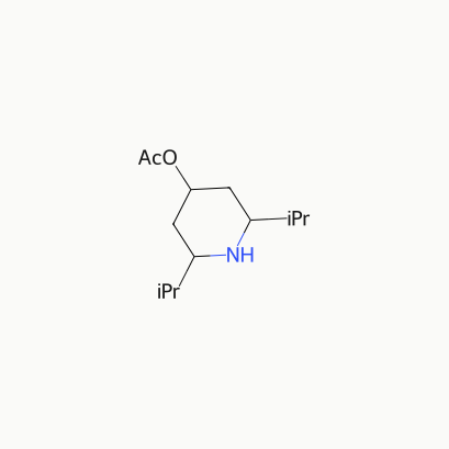 CC(=O)OC1CC(C(C)C)NC(C(C)C)C1